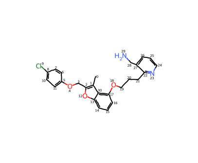 Cc1c(COc2ccc(Cl)cc2)oc2cccc(OCCCc3ncccc3CN)c12